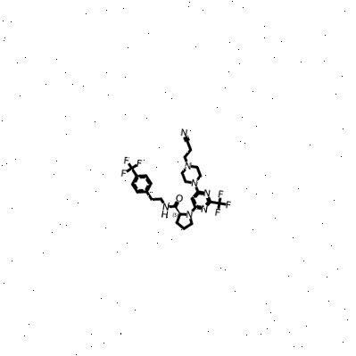 N#CCCN1CCN(c2cc(N3CCC[C@H]3C(=O)NCCc3ccc(C(F)(F)F)cc3)nc(C(F)(F)F)n2)CC1